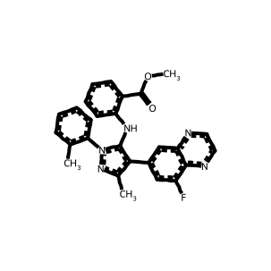 COC(=O)c1ccccc1Nc1c(-c2cc(F)c3nccnc3c2)c(C)nn1-c1ccccc1C